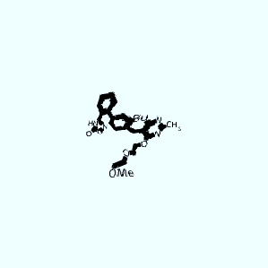 CCCCc1nc(C)nc(OCCOCCOC)c1Cc1ccc(-c2ccccc2-c2noc(=O)[nH]2)cc1